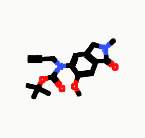 C#CCN(C(=O)OC(C)(C)C)c1cc2c(cc1OC)C(=O)N(C)C2